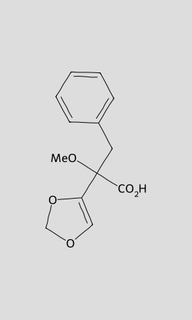 COC(Cc1ccccc1)(C(=O)O)C1=COCO1